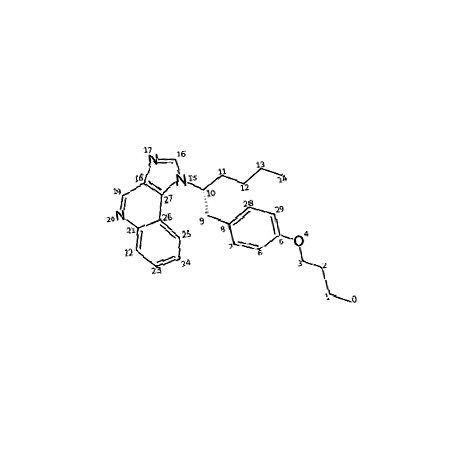 CCCCOc1ccc(C[C@@H](CCCC)n2cnc3cnc4ccccc4c32)cc1